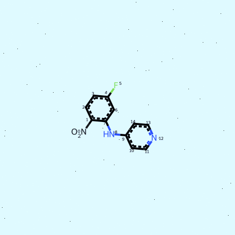 O=[N+]([O-])c1ccc(F)cc1Nc1ccncc1